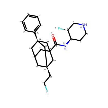 O=C(N[C@@H]1CCNC[C@H]1F)C12CC3C[C@@](CCF)(C1)C[C@](c1ccccc1)(C3)C2